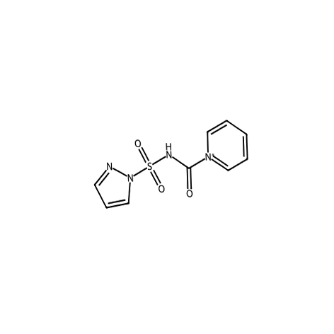 O=C(NS(=O)(=O)n1cccn1)[n+]1ccccc1